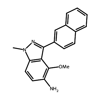 COc1c(N)ccc2c1c(-c1ccc3ccccc3c1)nn2C